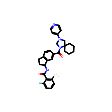 O=C(NC1CCc2ccc(C(=O)N3CN(c4ccncc4)CC34CCCCC4)cc21)c1c(F)cccc1C(F)(F)F